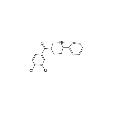 O=C(c1ccc(Cl)c(Cl)c1)C1CCC(c2ccccc2)NC1